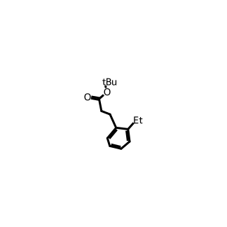 CCc1ccccc1CCC(=O)OC(C)(C)C